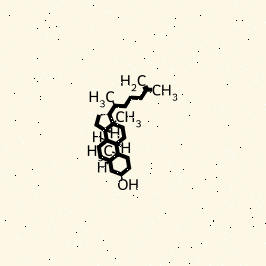 C=C(C)CCC[C@@H](C)[C@H]1CC[C@H]2[C@@H]3CC[C@H]4C[C@@H](O)CC[C@]4(C)[C@H]3CC[C@]12C